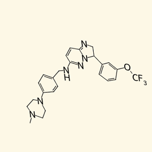 CN1CCN(c2ccc(CNC3=NN4C(=NCC4c4cccc(OC(F)(F)F)c4)C=C3)cc2)CC1